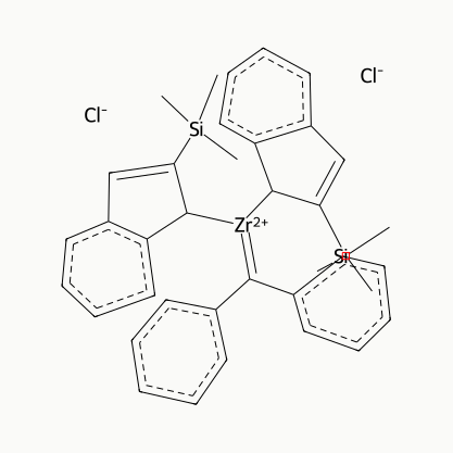 C[Si](C)(C)C1=Cc2ccccc2[CH]1[Zr+2](=[C](c1ccccc1)c1ccccc1)[CH]1C([Si](C)(C)C)=Cc2ccccc21.[Cl-].[Cl-]